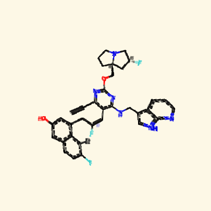 C#Cc1nc(OC[C@@]23CCCN2C[C@H](F)C3)nc(NCc2c[nH]c3ncccc23)c1/C=C(/F)Cc1cc(O)cc2ccc(F)c(CC)c12